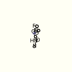 C/C(=C1/Oc2ccccc2N(Cc2ccccc2F)C1=O)c1ccc(C(=O)NCCCN2CCCC2)cc1